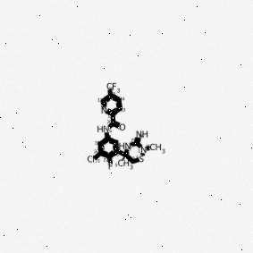 CN1SC[C@@](C)(c2cc(NC(=O)c3ccc(C(F)(F)F)cn3)cc(Cl)c2F)NC1=N